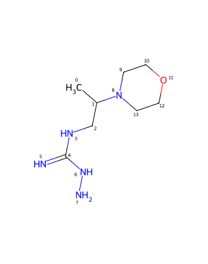 CC(CNC(=N)NN)N1CCOCC1